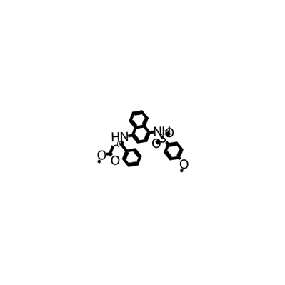 COC(=O)C[C@H](Nc1ccc(NS(=O)(=O)c2ccc(OC)cc2)c2ccccc12)c1ccccc1